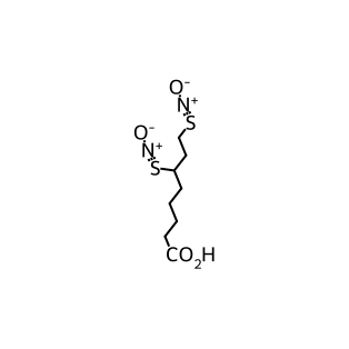 O=C(O)CCCCC(CCS#[N+][O-])S#[N+][O-]